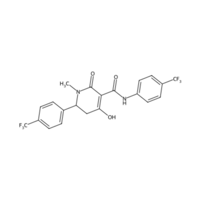 CN1C(=O)C(C(=O)Nc2ccc(C(F)(F)F)cc2)=C(O)CC1c1ccc(C(F)(F)F)cc1